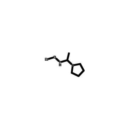 CCOPC(C)N1CCCC1